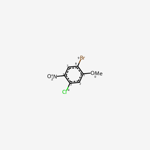 COc1cc(Cl)c([N+](=O)[O-])cc1Br